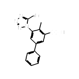 Cc1c(C(=O)O)cc(-c2ccccc2)cc1-n1nnnc1C(C)C